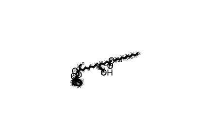 [CH2]CC(CCCCCCN(CCO)CCCC(=O)OCCCCCCCCCC)C(=O)OC(=O)C12CC3CC(CC(C3)C1)C2